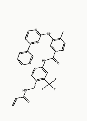 C=CC(=O)NCc1ccc(NC(=O)c2ccc(C)c(Nc3nccc(-c4cccnc4)n3)c2)cc1C(F)(F)F